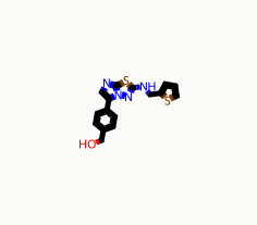 OCc1ccc(-c2cnc3sc(NCc4cccs4)nn23)cc1